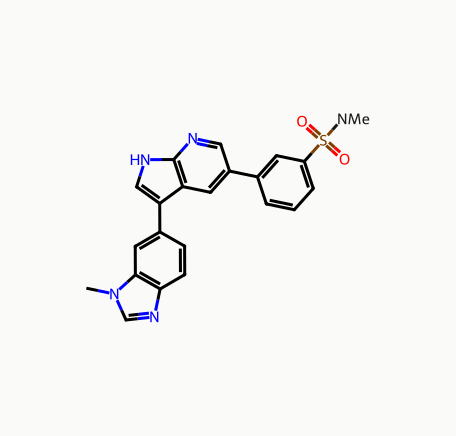 CNS(=O)(=O)c1cccc(-c2cnc3[nH]cc(-c4ccc5ncn(C)c5c4)c3c2)c1